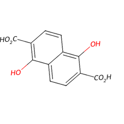 O=C(O)c1ccc2c(O)c(C(=O)O)ccc2c1O